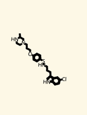 CC1CN(CCCOc2ccc(SNCCCc3c[nH]c4ccc(Cl)cc34)cc2)CCN1